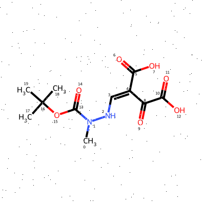 CN(N/C=C(/C(=O)O)C(=O)C(=O)O)C(=O)OC(C)(C)C